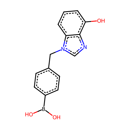 OB(O)c1ccc(Cn2cnc3c(O)cccc32)cc1